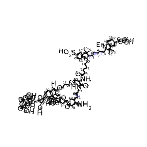 CC[N+]1=C(/C=C/C=C/C=C2/N(CCCCCC(=O)NC(CSSCCCOC(=O)Nc3ccn([C@H]4C[C@@H](O)[C@@H](COP(=O)(O)OP(=O)(O)OP(=O)(O)O)O4)c(=O)n3)C(=O)NC/C=C/c3cn([C@H]4C[C@@H](O)[C@@H](COP(=O)(O)O)O4)c(=O)cc3N)c3ccc(S(=O)(=O)O)cc3C2(C)C)C(C)(C)c2cc(SOOO)ccc21